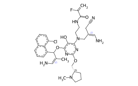 C=C(F)C(=O)NCCN(C/C(=C\N)CC#N)c1nc(OC[C@@H]2CCCN2C)nc(OC(/C(C)=C\N)c2cccc3cccc(Cl)c23)c1O